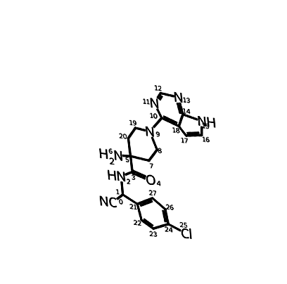 N#CC(NC(=O)C1(N)CCN(c2ncnc3[nH]ccc23)CC1)c1ccc(Cl)cc1